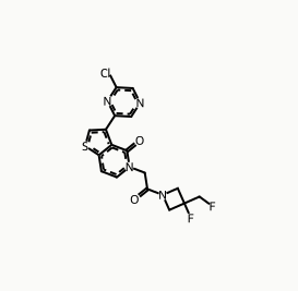 O=C(Cn1ccc2scc(-c3cncc(Cl)n3)c2c1=O)N1CC(F)(CF)C1